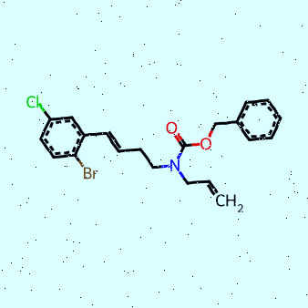 C=CCN(CCC=Cc1cc(Cl)ccc1Br)C(=O)OCc1ccccc1